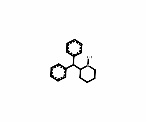 ON1CCCCC1C(c1ccccc1)c1ccccc1